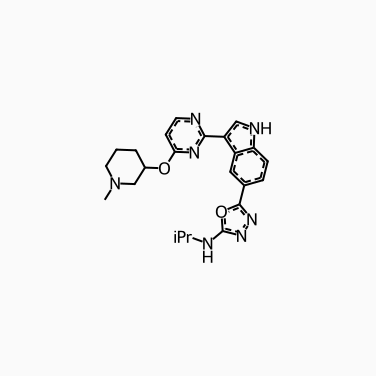 CC(C)Nc1nnc(-c2ccc3[nH]cc(-c4nccc(OC5CCCN(C)C5)n4)c3c2)o1